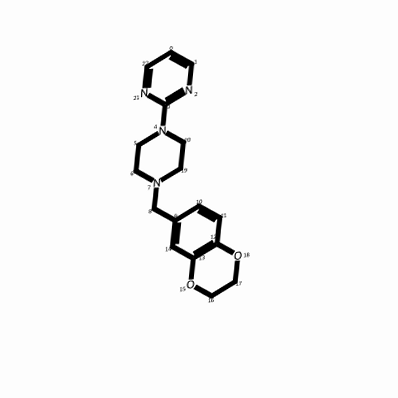 c1cnc(N2CCN(Cc3ccc4c(c3)OCCO4)CC2)nc1